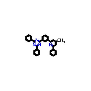 Cc1cc(-c2ccccc2)nc(-c2cccc(-c3nc(-c4ccccc4)nc(-c4ccccc4)n3)c2)c1